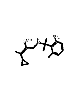 Bc1cccc(C)c1C(C)(C)NC/C(SC)=C(/C)C1CC1